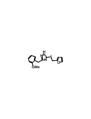 COc1ccccc1Cc1n[nH]c(SCc2ccco2)n1